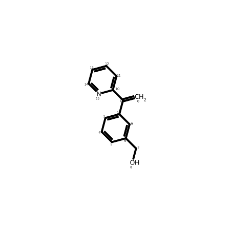 C=C(c1cccc(CO)c1)c1ccccn1